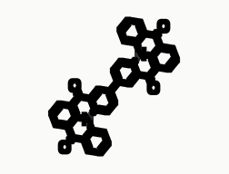 O=c1c2ccccc2n2c3ccc(-c4ccc5c(c4)c(=O)c4cccc6c(=O)c7ccccc7n5c64)cc3c(=O)c3cccc1c32